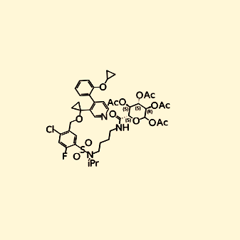 CC(=O)OC1O[C@H](C(=O)NCCCCN(C(C)C)S(=O)(=O)c2cc(COC3(c4cnccc4-c4ccccc4OC4CC4)CC3)c(Cl)cc2F)[C@@H](OC(C)=O)[C@H](OC(C)=O)[C@H]1OC(C)=O